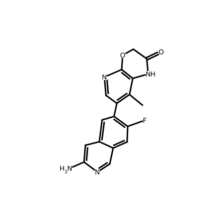 Cc1c(-c2cc3cc(N)ncc3cc2F)cnc2c1NC(=O)CO2